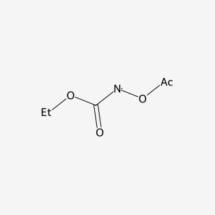 CCOC(=O)[N]OC(C)=O